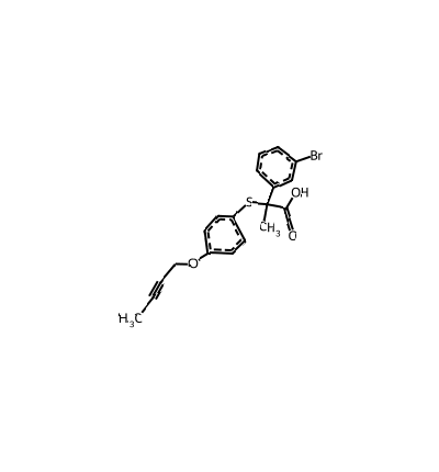 CC#CCOc1ccc(SC(C)(C(=O)O)c2cccc(Br)c2)cc1